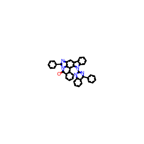 O=c1c2ccccc2c2c3c(cc4nc(-c5ccccc5)n1c42)c1ccccc1n3-c1nc(-c2ccccc2)c2ccccc2n1